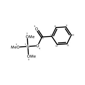 CO[Si](OC)(OC)OC(=O)c1ccccc1